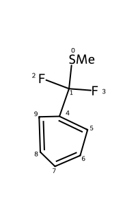 CSC(F)(F)c1ccccc1